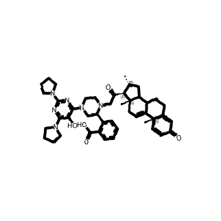 C[C@@H]1CC2C3CCC4=CC(=O)C=C[C@]4(C)C3=CC[C@]2(C)[C@H]1C(=O)CN1CCN(c2nc(N3CCCC3)nc(N3CCCC3)c2O)CC1c1ccccc1C(=O)O